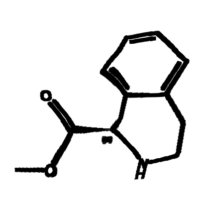 COC(=O)[C@H]1NCCc2ccccc21